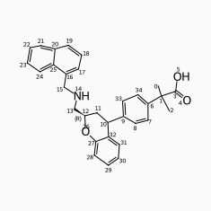 CC(C)(C(=O)O)c1ccc(C2C[C@H](CNCc3cccc4ccccc34)Oc3ccccc32)cc1